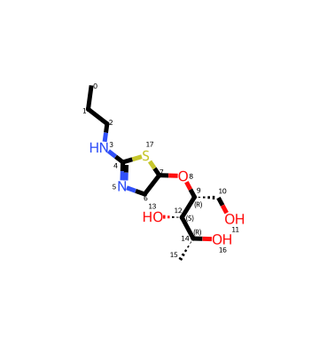 CCCNC1=NCC(O[C@H](CO)[C@@H](O)[C@@H](C)O)S1